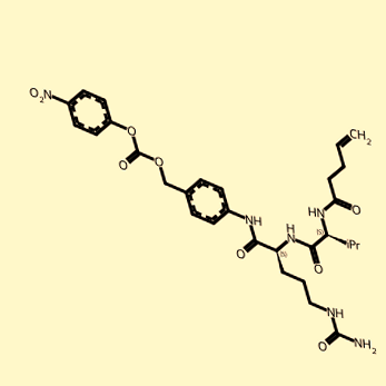 C=CCCC(=O)N[C@H](C(=O)N[C@@H](CCCNC(N)=O)C(=O)Nc1ccc(COC(=O)Oc2ccc([N+](=O)[O-])cc2)cc1)C(C)C